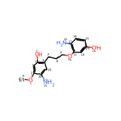 [CH2]COc1cc(O)c(CCCOc2cc(O)ccc2N)cc1N